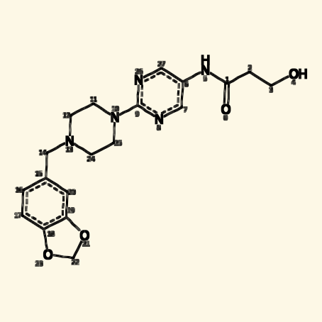 O=C(CCO)Nc1cnc(N2CCN(Cc3ccc4c(c3)OCO4)CC2)nc1